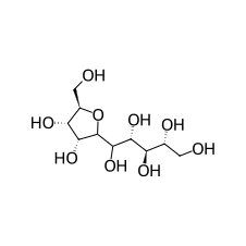 OC[C@@H](O)[C@@H](O)[C@@H](O)C(O)C1O[C@H](CO)[C@@H](O)[C@H]1O